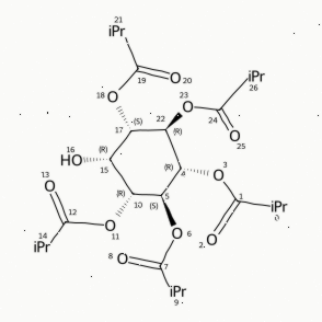 CC(C)C(=O)O[C@@H]1[C@@H](OC(=O)C(C)C)[C@H](OC(=O)C(C)C)[C@H](O)[C@H](OC(=O)C(C)C)[C@H]1OC(=O)C(C)C